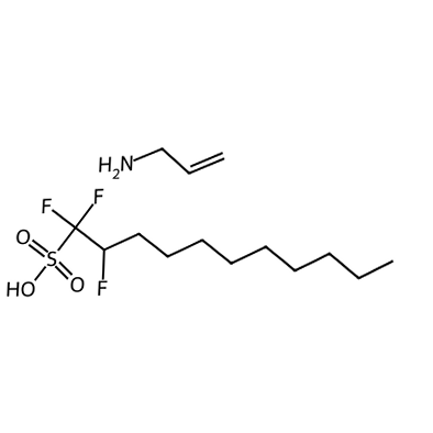 C=CCN.CCCCCCCCCC(F)C(F)(F)S(=O)(=O)O